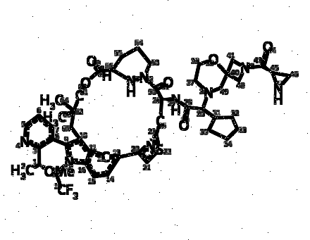 CO[C@@H](C)c1ncccc1-c1c2c3cc(ccc3n1CC(F)(F)F)-c1csc(n1)C[C@H](NC(=O)C(C1CCCC1)N1CCOC3(CN(C(=O)[C@H]4CN4)C3)C1)C(=O)N1CCC[C@H](N1)C(=O)OCC(C)(C)C2